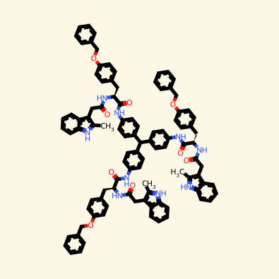 Cc1[nH]c2ccccc2c1CC(=O)N[C@@H](Cc1ccc(OCc2ccccc2)cc1)C(=O)Nc1ccc(C(c2ccc(NC(=O)[C@H](Cc3ccc(OCc4ccccc4)cc3)NC(=O)Cc3c(C)[nH]c4ccccc34)cc2)c2ccc(NC(=O)[C@H](Cc3ccc(OCc4ccccc4)cc3)NC(=O)Cc3c(C)[nH]c4ccccc34)cc2)cc1